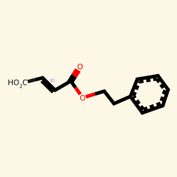 O=C(O)/C=C/C(=O)OCCc1ccccc1